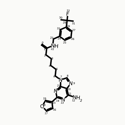 C=C(CCCCCn1cnc2c(N)nc(-c3ccoc3)nc21)NCc1cccc(C(C)(C)F)c1